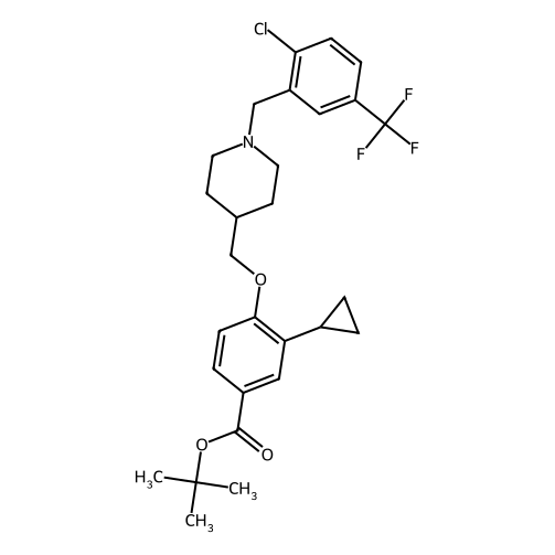 CC(C)(C)OC(=O)c1ccc(OCC2CCN(Cc3cc(C(F)(F)F)ccc3Cl)CC2)c(C2CC2)c1